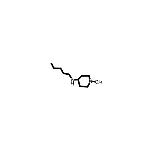 CCCCCNC1CCN(O)CC1